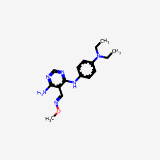 CCN(CC)c1ccc(Nc2ncnc(N)c2C=NOC)cc1